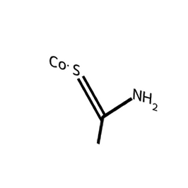 CC(N)=S.[Co]